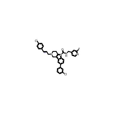 O=C(NCc1ccnc(F)c1)n1c2c(c3cc(-c4cccc(Cl)c4)ccc31)CN(C/C=C/c1ccc(Cl)cc1)CC2